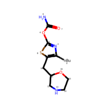 CCCCc1nc(OC(N)=O)sc1CC1CNCCO1